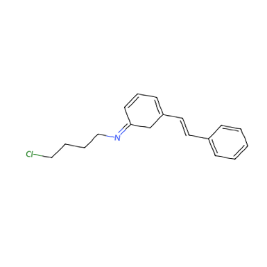 ClCCCCN=C1C=CC=C(C=Cc2ccccc2)C1